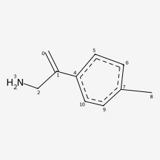 C=C(CN)c1ccc(C)cc1